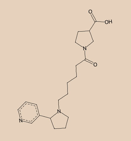 O=C(O)C1CCN(C(=O)CCCCCN2CCCC2c2cccnc2)C1